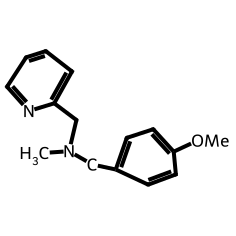 COc1ccc(CN(C)Cc2ccccn2)cc1